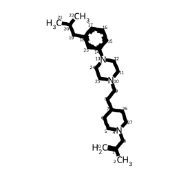 C=C(C)CN1CCC(CCN2CCN(c3cccc(CC(C)C)c3)CC2)CC1